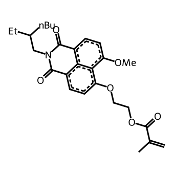 C=C(C)C(=O)OCCOc1ccc2c3c(ccc(OC)c13)C(=O)N(CC(CC)CCCC)C2=O